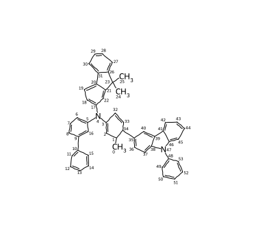 CC1C=C(N(c2cccc(-c3ccccc3)c2)c2ccc3c(c2)C(C)(C)c2ccccc2-3)C=CC1c1ccc2c(c1)c1ccccc1n2-c1ccccc1